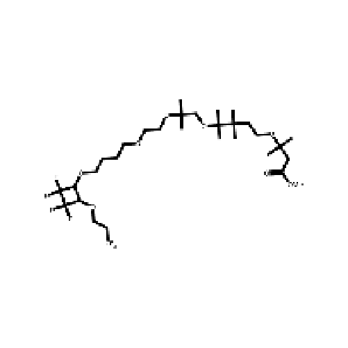 COC(=O)CC(C)(C)OCCC(C)(C)C(C)(C)OCC(C)(C)OCCOCCCCOC1C(OCCC(F)(F)F)C(F)(F)C1(F)F